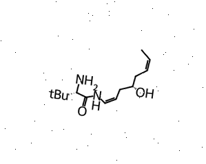 C/C=C\C[C@H](O)C/C=C\NC(=O)[C@@H](N)C(C)(C)C